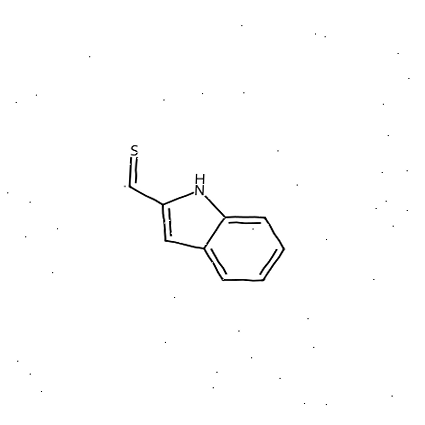 S=[C]c1cc2ccccc2[nH]1